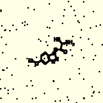 CCOc1ccc2c(c1)nnn2OC(=O)C(N)S